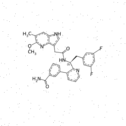 COc1nc2c(CC(=O)N[C@@H](Cc3cc(F)cc(F)c3)c3ncccc3-c3cccc(C(N)=O)c3)c[nH]c2cc1C